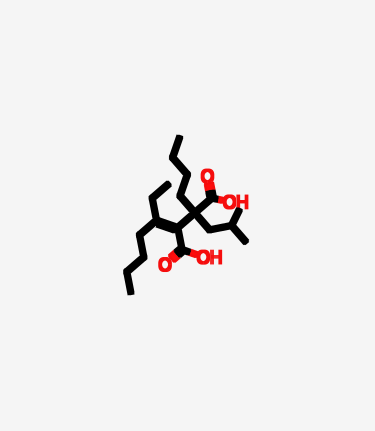 CCCCC(CC)=C(C(=O)O)C(CCCC)(CC(C)C)C(=O)O